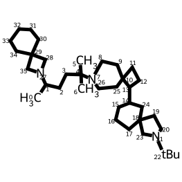 CC(CCC(C)(C)N1CCC2(CCC2C2CCCC3(CCN(C(C)(C)C)C3)C2)CC1)N1CC2(CCCCC2)C1